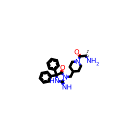 C[C@H](N)C(=O)N1CCC(CN2C(=N)NC(c3ccccc3)(c3ccccc3)C2=O)CC1